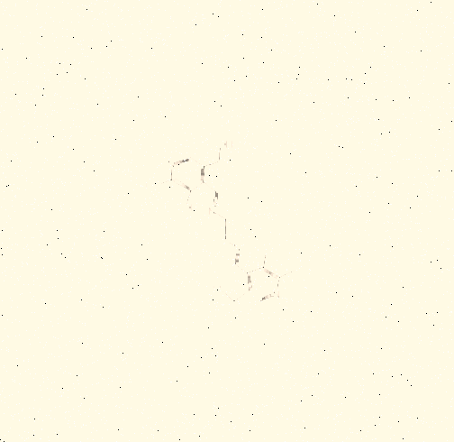 Cc1ncc(CO)c(C=NCCN=Cc2c(CO)cnc(C)c2O)c1O